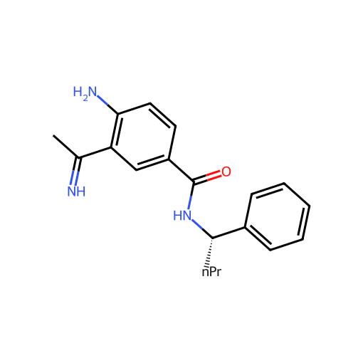 CCC[C@H](NC(=O)c1ccc(N)c(C(C)=N)c1)c1ccccc1